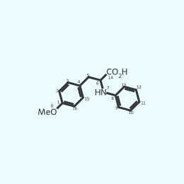 COc1ccc(CC(Nc2ccccc2)C(=O)O)cc1